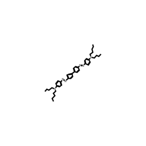 CCCCCN(CCCC)c1ccc(N=Nc2ccc(-c3ccc(N=Nc4ccc(N(CCCC)CCCCC)cc4)cc3)cc2)cc1